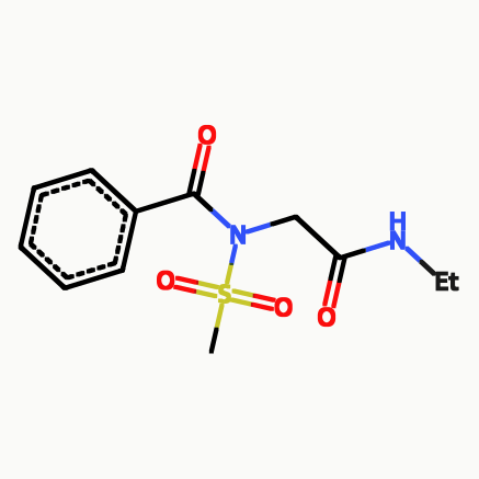 CCNC(=O)CN(C(=O)c1ccccc1)S(C)(=O)=O